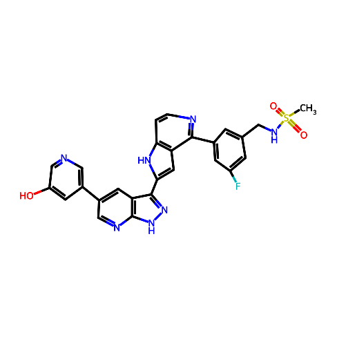 CS(=O)(=O)NCc1cc(F)cc(-c2nccc3[nH]c(-c4n[nH]c5ncc(-c6cncc(O)c6)cc45)cc23)c1